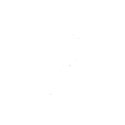 COCc1ccc(OC(F)(F)F)c(CNC(=O)Nc2c(C)c(OC[C@H]3CCN3C(=O)OC(C)(C)C)nn2-c2ccccc2)c1